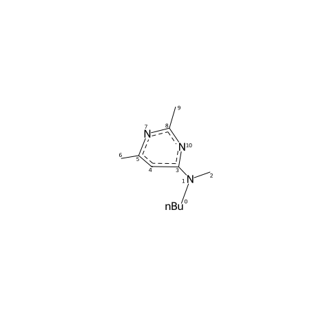 CCCCN(C)c1cc(C)nc(C)n1